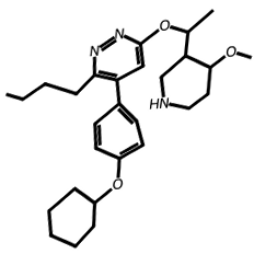 CCCCc1nnc(OC(C)C2CNCCC2OC)cc1-c1ccc(OC2CCCCC2)cc1